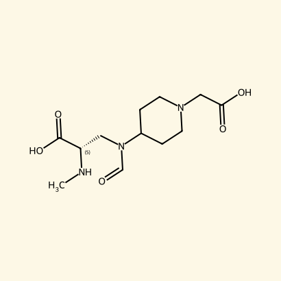 CN[C@@H](CN(C=O)C1CCN(CC(=O)O)CC1)C(=O)O